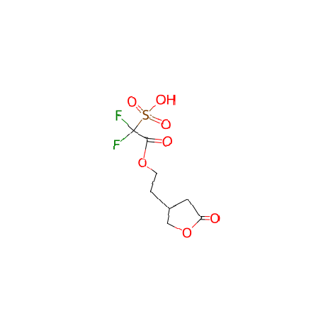 O=C1CC(CCOC(=O)C(F)(F)S(=O)(=O)O)CO1